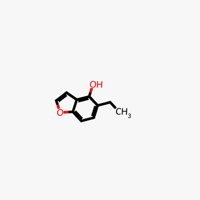 CCc1ccc2occc2c1O